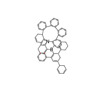 C1=CCC(C2=CC(c3ccccc3)=C(B3C4=CCCc5c6c7n(c54)-c4c3cccc4-c3ccccc3-c3ccccc3-c3ccccc3C7CC=C6)C(C3=CCCCC3)C2)C=C1